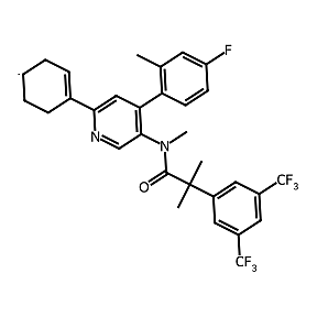 Cc1cc(F)ccc1-c1cc(C2=CC[CH]CC2)ncc1N(C)C(=O)C(C)(C)c1cc(C(F)(F)F)cc(C(F)(F)F)c1